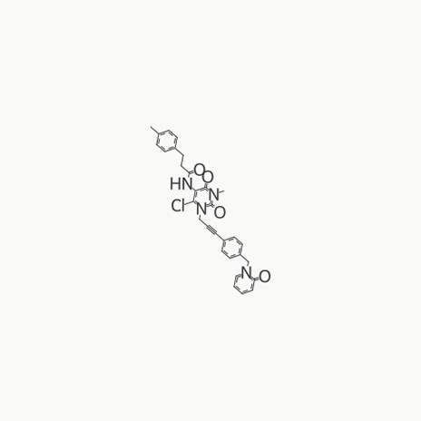 Cc1ccc(CCC(=O)Nc2c(Cl)n(CC#Cc3ccc(Cn4ccccc4=O)cc3)c(=O)n(C)c2=O)cc1